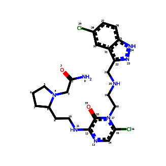 NC(=O)CN1CCCC1CCNc1ncc(Cl)n(CCNCc2n[nH]c3ccc(Cl)cc23)c1=O